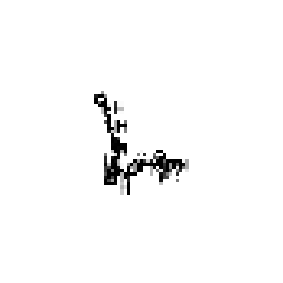 N[C@@H](CCC(=O)N1CCC(Nc2nc(NCc3cn(CCCNCCCNC4CCCCC4)nn3)nc3ccccc23)CC1)C(=O)NCc1cnc[nH]1